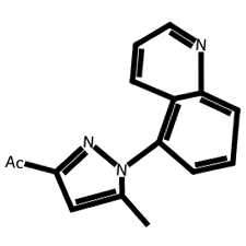 CC(=O)c1cc(C)n(-c2cccc3ncccc23)n1